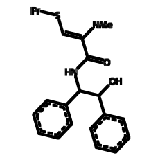 CN/C(=C\SC(C)C)C(=O)NC(c1ccccc1)C(O)c1ccccc1